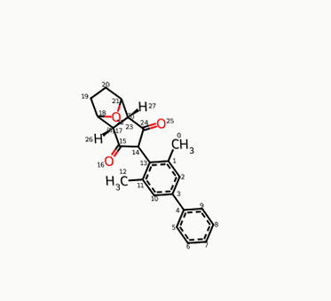 Cc1cc(-c2ccccc2)cc(C)c1C1C(=O)[C@@H]2C3CCC(O3)[C@@H]2C1=O